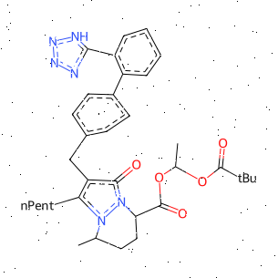 CCCCCc1c(Cc2ccc(-c3ccccc3-c3nnn[nH]3)cc2)c(=O)n2n1C(C)CCC2C(=O)OC(C)OC(=O)C(C)(C)C